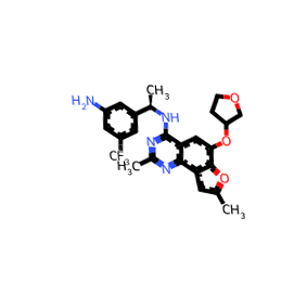 Cc1nc(N[C@H](C)c2cc(N)cc(C(F)(F)F)c2)c2cc(OC3CCOC3)c3oc(C)cc3c2n1